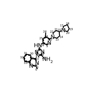 Cc1nc(-n2nc(Nc3cnc(N4CCC(N5CCCC5)CC4)c(C)c3)nc2N)c2ccccc2n1